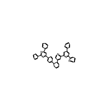 C1=CCC(c2ccc(-c3cc(-c4ccccc4)nc(-c4ccccc4)n3)cc2)C(c2ccnc(-c3cc(-c4ccccc4)cc(-c4ccccn4)n3)c2)=C1